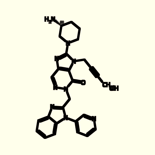 CC#CCn1c(N2CCC[C@@H](N)C2)nc2cnn(Cc3nc4ccccc4n3-c3cccnc3)c(=O)c21.Cl